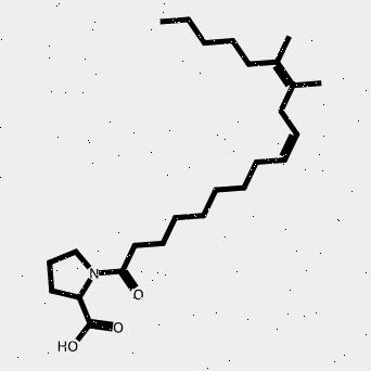 CCCCC/C(C)=C(/C)C/C=C\CCCCCCCC(=O)N1CCCC1C(=O)O